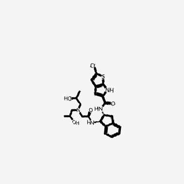 CC(O)CN(CC(=O)N[C@@H]1c2ccccc2C[C@H]1NC(=O)c1cc2cc(Cl)sc2[nH]1)CC(C)O